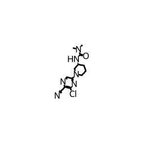 CN(C)C(=O)N[C@@H]1CCCN(c2cnc(C#N)c(Cl)n2)C1